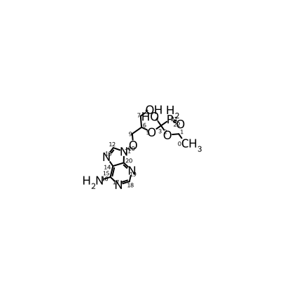 CCOC(O)(OC(CO)COn1cnc2c(N)ncnc21)[PH2]=O